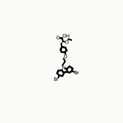 CCO[C@@H](Cc1ccc(OCCCn2c3ccc(Br)cc3c3cc(Br)ccc32)cc1)C(=O)O